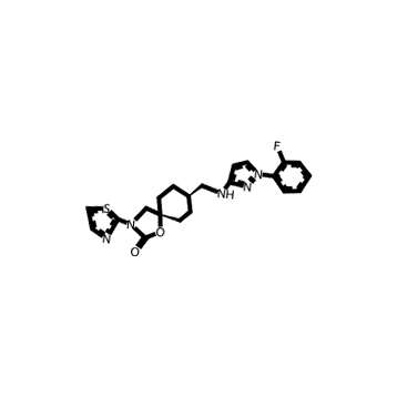 O=C1O[C@]2(CC[C@H](CNc3ccn(-c4ccccc4F)n3)CC2)CN1c1nccs1